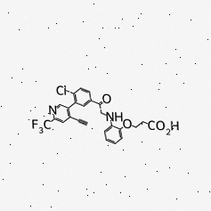 C#Cc1cc(C(F)(F)F)ncc1-c1cc(C(=O)CNc2ccccc2OCCC(=O)O)ccc1Cl